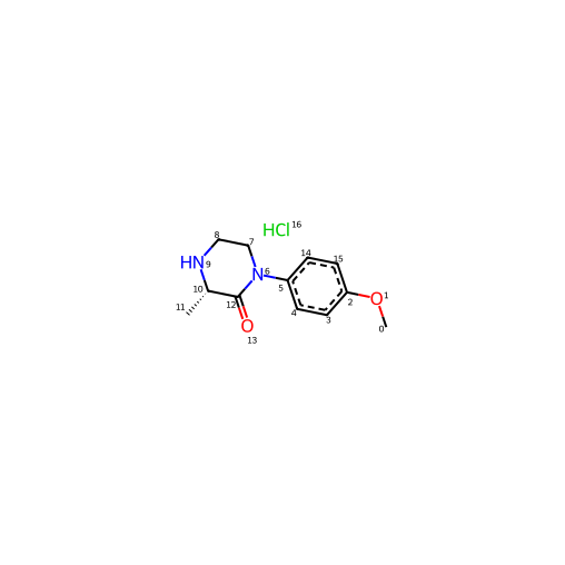 COc1ccc(N2CCN[C@@H](C)C2=O)cc1.Cl